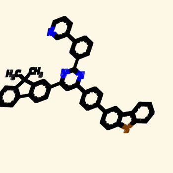 CC1(C)c2ccccc2-c2ccc(-c3cc(-c4ccc(-c5ccc6sc7ccccc7c6c5)cc4)nc(-c4cccc(-c5cccnc5)c4)n3)cc21